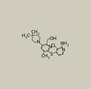 Cc1cc(N2CCC(C)(C)CC2)c(CO)nc1Sc1ccnc(N)c1Cl